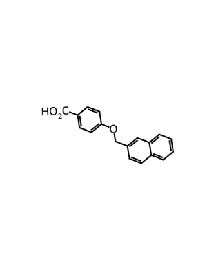 O=C(O)c1ccc(OCc2ccc3ccccc3c2)cc1